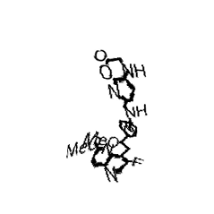 COc1ccc2ncc(F)c(CC(OC)C34CCC(NCc5ccc6c(n5)OC(=O)CN6)(CC3)CO4)c2n1